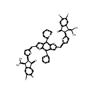 N#CC(C#N)=C1/C(=c2\cc/c(=C/c3cc4c(-c5ccccc5)c5sc(/C=c6/cc/c(=C7/C(=O)c8cc(F)c(F)cc8C7=C(C#N)C#N)s6)cc5c(-c5ccccc5)c4s3)s2)C(=O)c2cc(F)c(F)cc21